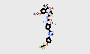 COc1ccc(C(C)C)c(N2C(=O)CS/C2=N\C(=O)Nc2ccc(-c3ncn(-c4ccc(OC(F)(F)C(F)(F)F)cc4)n3)cc2C)c1